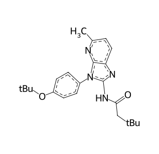 Cc1ccc2nc(NC(=O)CC(C)(C)C)n(-c3ccc(OC(C)(C)C)cc3)c2n1